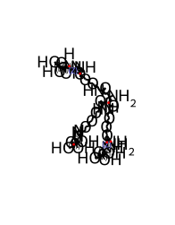 N=N/C(=C\N[C@H]1CO[C@H](CO)[C@H](O)[C@@H]1O)COCCOCCOCCNC(=O)CCC(N)(CCC(=O)NCCOCCOCCOC/C(=C/N[C@H]1CO[C@H](CO)[C@H](O)[C@@H]1O)NN)CCC(=O)NCCOCCOCCOCc1cn([C@H]2CO[C@H](CO)[C@H](O)[C@@H]2O)nn1